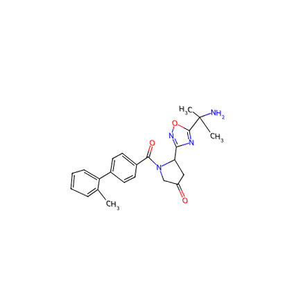 Cc1ccccc1-c1ccc(C(=O)N2CC(=O)CC2c2noc(C(C)(C)N)n2)cc1